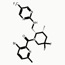 Cc1ccc(Br)c(C(=O)N2CC(F)(F)C[C@@H](C)[C@H]2CNc2ncc(C(F)(F)F)cn2)n1